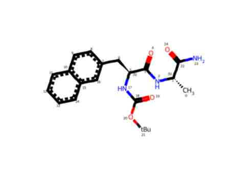 C[C@H](NC(=O)[C@H](Cc1ccc2ccccc2c1)NC(=O)OC(C)(C)C)C(N)=O